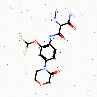 CCN[C@@H](C(N)=O)C(=O)Nc1ccc(N2CCOCC2=O)cc1OC(F)F